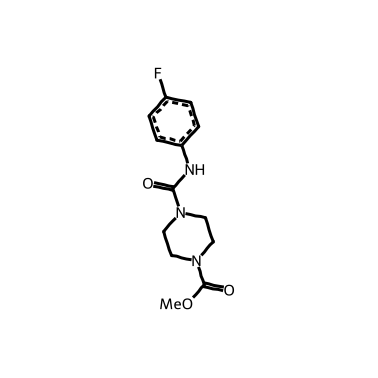 COC(=O)N1CCN(C(=O)Nc2ccc(F)cc2)CC1